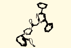 CCOc1ccccc1N1CCN(C(=O)Cn2nc(-c3ccccc3)cc2-c2ccccc2)CC1